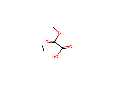 CC.COC(=O)C(=O)O